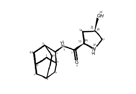 O=C(NC1C2CC3CC(C2)CC1C3)[C@H]1C[C@@H](O)CN1